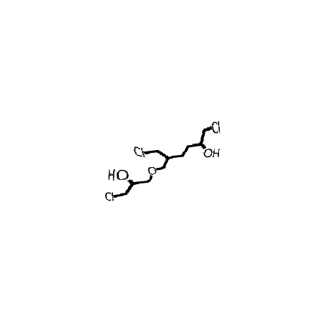 OC(CCl)CCC(CCl)COCC(O)CCl